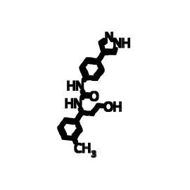 Cc1cccc(C(CCO)NC(=O)Nc2ccc(-c3cn[nH]c3)cc2)c1